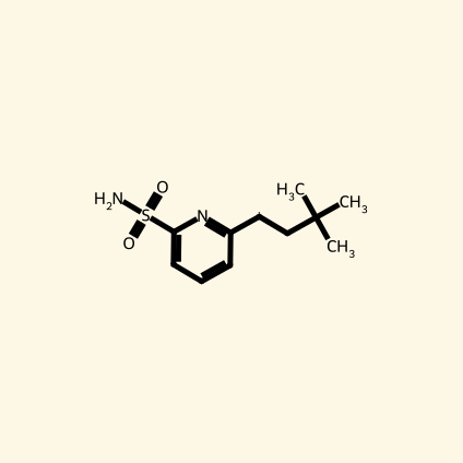 CC(C)(C)C[CH]c1cccc(S(N)(=O)=O)n1